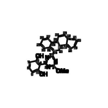 COc1nc(-c2c(O)cccc2O)nc(-c2cc3c4ccccc4ccc3c3ccccc23)n1